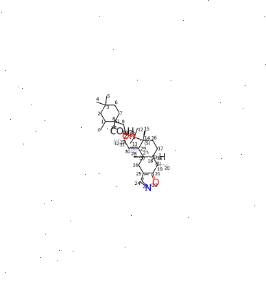 CC1CC(C)(C)CC[C@@]1(CCC(C)(C)[C@]1(C)CC[C@H]2[C@H](C)c3oncc3C[C@]2(C)/C1=C/[C@H](C)O)C(=O)O